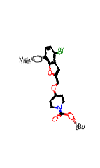 COc1ccc(Br)c2cc(COC3CCN(C(=O)OC(C)(C)C)CC3)oc12